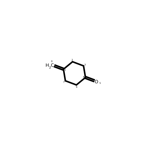 C=C1CCC(=O)CC1